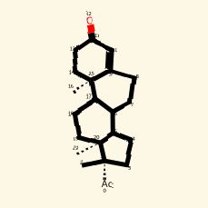 CC(=O)[C@@]1(C)CCC2C3CCC4=CC(=O)CC[C@]4(C)C3CC[C@@]21C